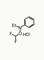 CCN(OC(F)F)c1ccccc1.Cl